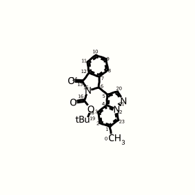 Cc1ccc2c(C3c4ccccc4C(=O)N3C(=O)OC(C)(C)C)cnn2c1